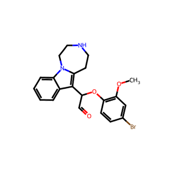 COc1cc(Br)ccc1OC(C=O)c1c2n(c3ccccc13)CCNCC2